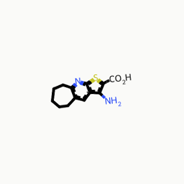 Nc1c(C(=O)O)sc2nc3c(cc12)CCCCC3